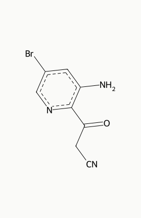 N#CCC(=O)c1ncc(Br)cc1N